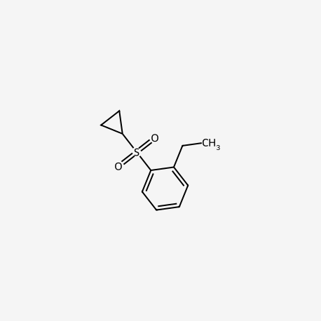 CCc1ccccc1S(=O)(=O)C1CC1